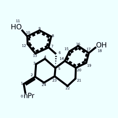 CCC/C=C1/CC[C@@]2(Cc3ccc(O)cc3)c3ccc(O)cc3CCC2C1